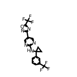 FC(F)(F)c1cccc(C2(Nc3ncc(-c4noc(C(F)(F)F)n4)cn3)CC2)c1